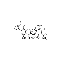 CCN1CCCC1c1cc(O)c2c(c1OC)C[C@H]1C[C@H]3[C@H](N(C)C)C(O)=C(C(N)=O)C(=O)[C@@]3(O)C(O)=C1C2=O